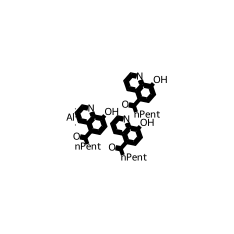 CCCCCC(=O)c1ccc(O)c2ncccc12.CCCCCC(=O)c1ccc(O)c2ncccc12.CCCCCC(=O)c1ccc(O)c2ncccc12.[Al]